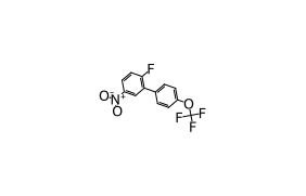 O=[N+]([O-])c1ccc(F)c(-c2ccc(OC(F)(F)F)cc2)c1